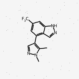 Cc1c(-c2cc(C(F)(F)F)cc3[nH]ncc23)cnn1C